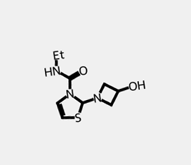 CCNC(=O)N1C=CSC1N1CC(O)C1